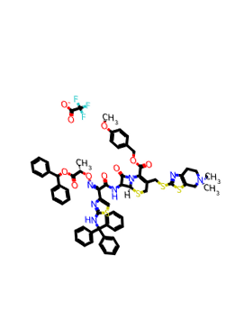 COc1ccc(COC(=O)C2=C(CSc3nc4c(s3)C[N+](C)(C)CC4)CS[C@H]3C(NC(=O)/C(=N\O[C@@H](C)C(=O)OC(c4ccccc4)c4ccccc4)c4csc(NC(c5ccccc5)(c5ccccc5)c5ccccc5)n4)C(=O)N23)cc1.O=C([O-])C(F)(F)F